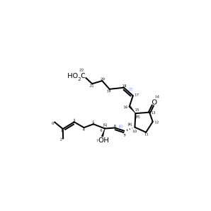 CC(C)=CCC[C@H](O)/C=C/[C@H]1CCC(=O)[C@@H]1C/C=C\CCCC(=O)O